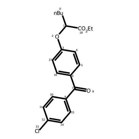 CCCCC(Oc1ccc(C(=O)c2ccc(Cl)cc2)cc1)C(=O)OCC